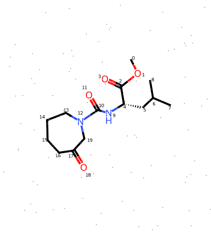 COC(=O)[C@H](CC(C)C)NC(=O)N1CCCCC(=O)C1